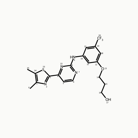 Cc1nc(-c2ccnc(Nc3cc(OCCCO)cc(C(F)(F)F)c3)n2)sc1C